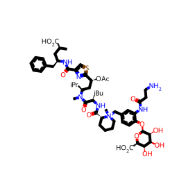 CCC(C)[C@H](NC(=O)[C@H]1CCCC[N+]1(C)Cc1ccc(O[C@@H]2O[C@H](C(=O)O)[C@@H](O)[C@H](O)[C@H]2O)c(NC(=O)CCN)c1)C(=O)N(C)[C@H](C[C@@H](OC(C)=O)c1nc(C(=O)N[C@@H](Cc2ccccc2)C[C@H](C)C(=O)O)cs1)C(C)C